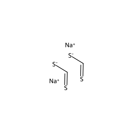 S=C[S-].S=C[S-].[Na+].[Na+]